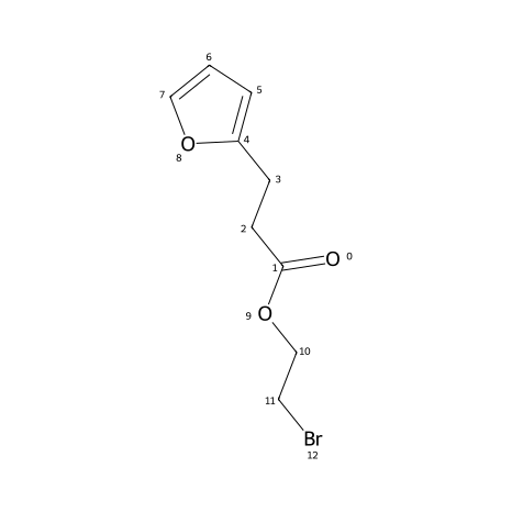 O=C(CCc1ccco1)OCCBr